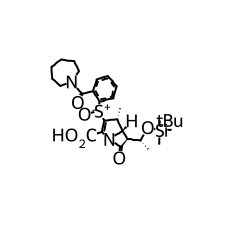 C[C@@H](O[Si](C)(C)C(C)(C)C)[C@H]1C(=O)N2C(C(=O)O)=C([S+]([O-])c3ccccc3C(=O)N3CCCCCC3)[C@H](C)[C@H]12